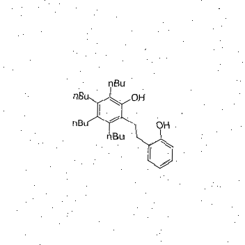 CCCCc1c(O)c(CCc2ccccc2O)c(CCCC)c(CCCC)c1CCCC